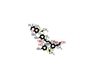 CC(C)(Sc1cc(C(C)(C)C)c(O)c(C(C)(C)C)c1)Sc1cc(C(C)(C)CCO)c(O)c(C(C)(C)CCC(C)(C)c2cc(SC(C)(C)Sc3cc(C(C)(C)C)c4c(c3)C(C)(C)CCO4)cc(C(C)(C)C)c2O)c1